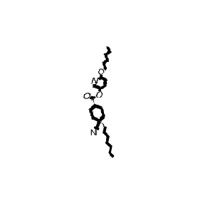 CCCCCCC[C@]1(C#N)CC[C@H](C(=O)Oc2ccc(OCCCCCC)nc2)CC1